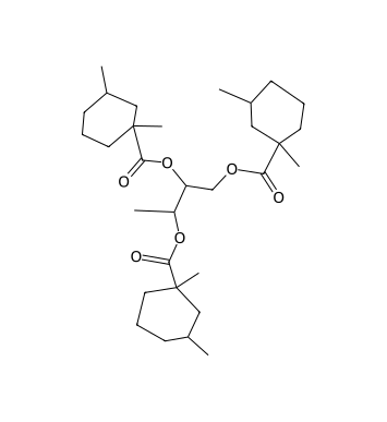 CC1CCCC(C)(C(=O)OCC(OC(=O)C2(C)CCCC(C)C2)C(C)OC(=O)C2(C)CCCC(C)C2)C1